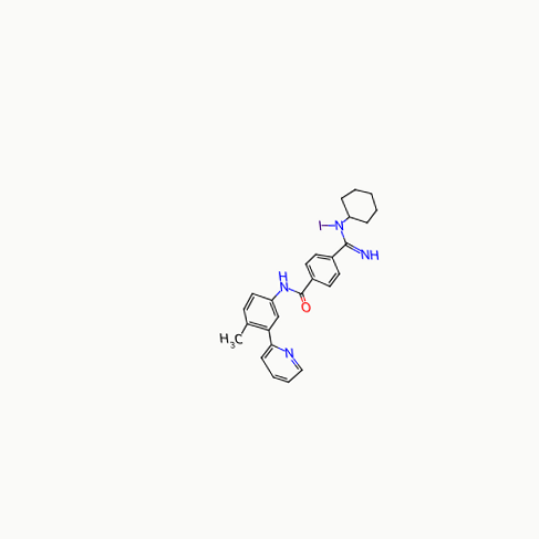 Cc1ccc(NC(=O)c2ccc(C(=N)N(I)C3CCCCC3)cc2)cc1-c1ccccn1